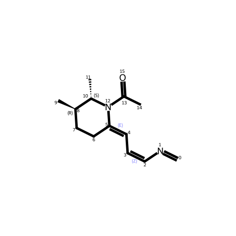 C=N/C=C\C=C1/CC[C@@H](C)[C@H](C)N1C(C)=O